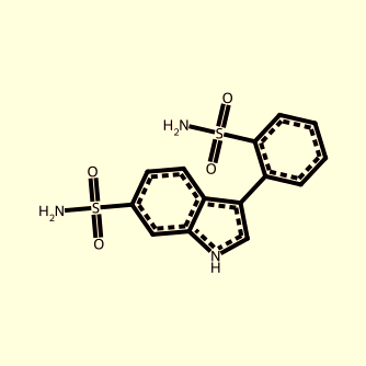 NS(=O)(=O)c1ccc2c(-c3ccccc3S(N)(=O)=O)c[nH]c2c1